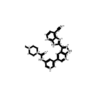 CN1CCN(C(=O)Nc2cncc(-c3cnc4[nH]nc(-c5nc6c(C#N)ccnc6[nH]5)c4c3)c2)CC1